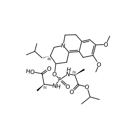 COC1=C(OC)CC2=C3CC(OP(=O)(N[C@@H](C)C(=O)O)N[C@@H](C)C(=O)OC(C)C)[C@H](CC(C)C)CN3CCC2=C1